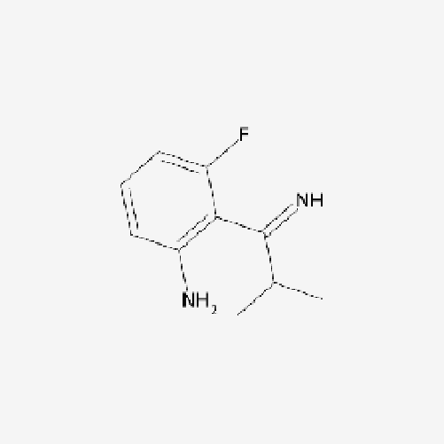 CC(C)C(=N)c1c(N)cccc1F